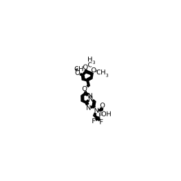 COc1cc(COc2ccc3nc(N(CC(F)(F)F)C(=O)O)cn3n2)cc(OC)c1OC